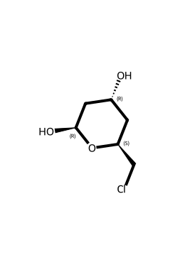 O[C@@H]1C[C@@H](CCl)O[C@@H](O)C1